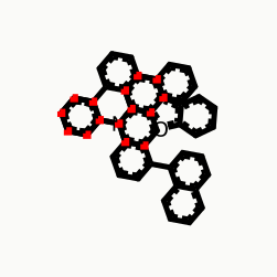 c1ccc(-c2ccccc2-c2c(-c3ccccc3)cccc2-c2ccccc2N(c2cccc(-c3cccc4ccccc34)c2)c2cccc3c2oc2ccccc23)cc1